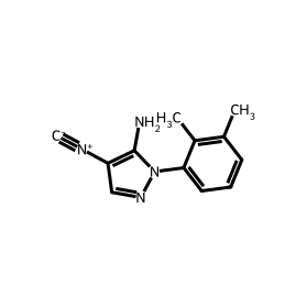 [C-]#[N+]c1cnn(-c2cccc(C)c2C)c1N